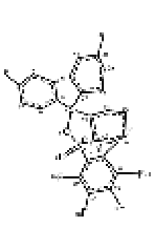 Cc1ccc(S(OS(=O)(=O)c2c(F)c(F)c(F)c(F)c2F)(c2ccccc2)c2ccc(C)cc2)cc1